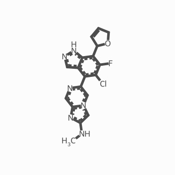 CNc1cn2cc(-c3c(Cl)c(F)c(C4C=CCO4)c4[nH]ncc34)ncc2n1